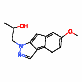 COC1=CCC2=c3cnn(CC(C)O)c3=CC2=C1